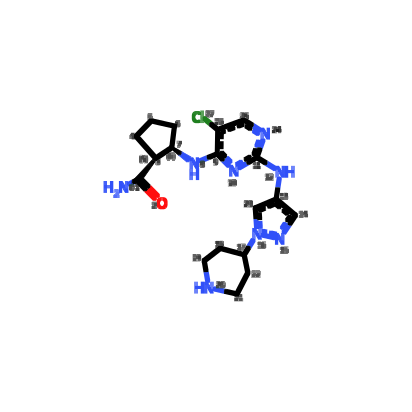 NC(=O)[C@H]1CCC[C@H]1Nc1nc(Nc2cnn(C3CCNCC3)c2)ncc1Cl